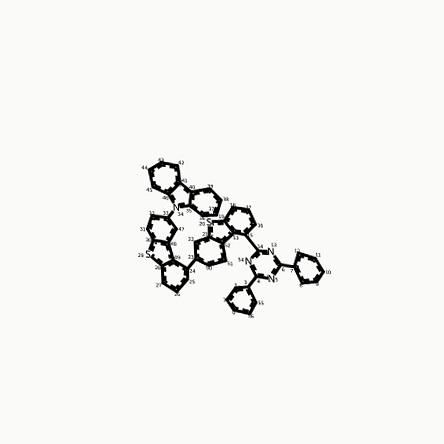 c1ccc(-c2nc(-c3ccccc3)nc(-c3cccc4sc5cc(-c6cccc7sc8ccc(-n9c%10ccccc%10c%10ccccc%109)cc8c67)ccc5c34)n2)cc1